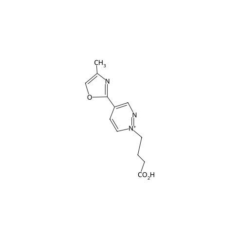 Cc1coc(-c2cc[n+](CCCC(=O)O)nc2)n1